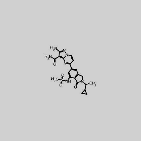 C[C@@H](C1CC1)N1Cc2cc(-c3ccn4nc(N)c(C(N)=O)c4n3)cc(NS(C)(=O)=O)c2C1=O